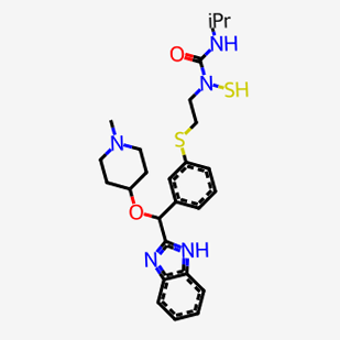 CC(C)NC(=O)N(S)CCSc1cccc(C(OC2CCN(C)CC2)c2nc3ccccc3[nH]2)c1